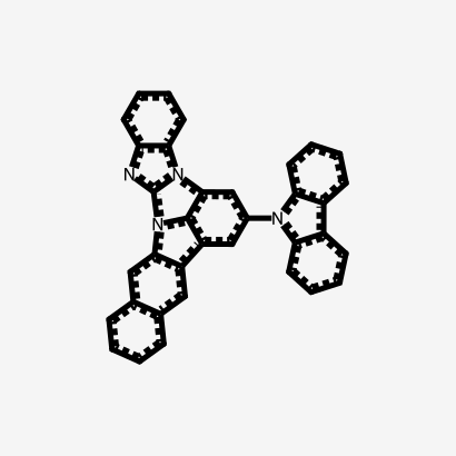 c1ccc2cc3c(cc2c1)c1cc(-n2c4ccccc4c4ccccc42)cc2c1n3c1nc3ccccc3n21